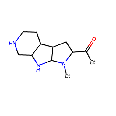 CCC(=O)C1CC2C3CCNCC3NC2N1CC